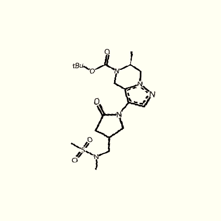 C[C@H]1Cn2ncc(N3CC(CN(C)S(C)(=O)=O)CC3=O)c2CN1C(=O)OC(C)(C)C